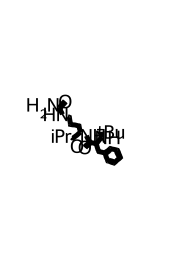 CC(C)C(=O)C(CCCNC(N)=O)NC(=O)C(Cc1ccccc1)NC(C)(C)C